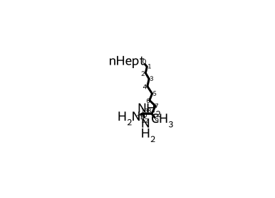 CCCCCCCCCCCCCCC(C)C(N)(N)N